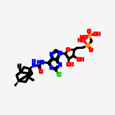 C[C@]12C[C@@H]3C[C@](C)(C1)C[C@@](NC(=O)Nc1nc(Cl)nc4c1ncn4C1OC(CCP(=O)(O)CP(=O)(O)O)C(O)C1O)(C3)C2